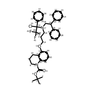 CC(C)(C)OC(=O)N1CCCc2c(OCCCN(CC(c3ccccc3)c3ccccc3)C(Cl)(c3ccccc3)C(F)(F)F)cccc21